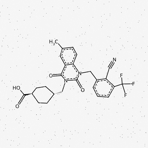 Cc1ccc2c(c1)c(=O)n(C[C@H]1CC[C@H](C(=O)O)CC1)c(=O)n2Cc1cccc(C(F)(F)F)c1C#N